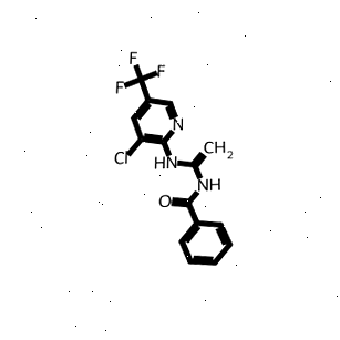 C=C(NC(=O)c1ccccc1)Nc1ncc(C(F)(F)F)cc1Cl